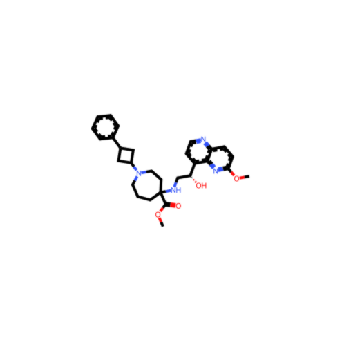 COC(=O)C1(NC[C@@H](O)c2ccnc3ccc(OC)nc23)CCCN(C2CC(c3ccccc3)C2)CC1